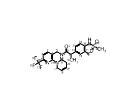 CC(C(=O)NCc1ccc(C(F)(F)F)nc1N1CC=CCC1)c1ccc(NS(C)(=O)=O)c(F)c1